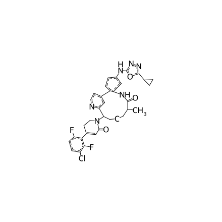 CC1CCCC(N2CCC(c3c(F)ccc(Cl)c3F)=CC2=O)c2cc(ccn2)-c2ccc(Nc3nnc(C4CC4)o3)cc2NC1=O